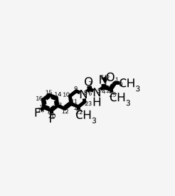 Cc1onc(NC(=O)N2CCC(=Cc3cccc(F)c3F)C(C)C2)c1C